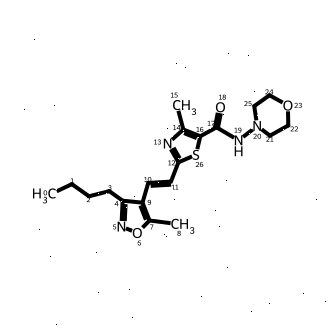 CCCCc1noc(C)c1C=Cc1nc(C)c(C(=O)NN2CCOCC2)s1